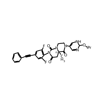 CC(C)OC1N=CC(N2CCN3C(=O)N(c4c(F)cc(C#Cc5ccccc5)cc4F)C(=O)C[C@@]3(C)C2=O)=CN1